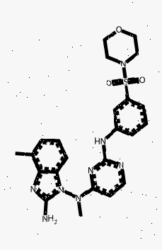 Cc1cccc2c1nc(N)n2N(C)c1ccnc(Nc2cccc(S(=O)(=O)N3CCOCC3)c2)n1